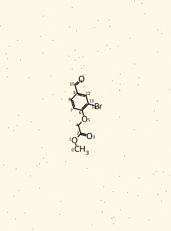 COC(=O)COc1ccc(C=O)cc1Br